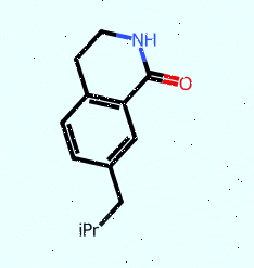 CC(C)Cc1ccc2c(c1)C(=O)NCC2